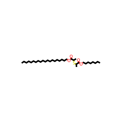 CCCCCCCCCCCCCCCCCCCCOC(=O)C(C)SC(C)C(=O)OCCCCCCCC